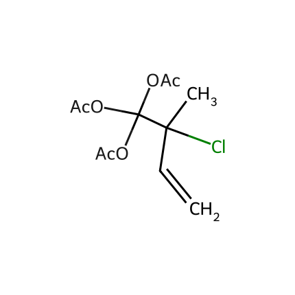 C=CC(C)(Cl)C(OC(C)=O)(OC(C)=O)OC(C)=O